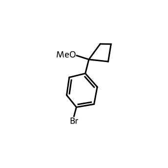 COC1(c2ccc(Br)cc2)CCC1